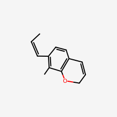 C/C=C\c1ccc2c(c1C)OCC=C2